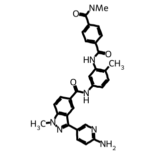 CNC(=O)c1ccc(C(=O)Nc2cc(NC(=O)c3ccc4c(c3)c(-c3ccc(N)nc3)nn4C)ccc2C)cc1